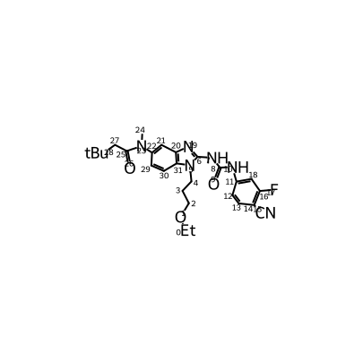 CCOCCCn1c(NC(=O)Nc2ccc(C#N)c(F)c2)nc2cc(N(C)C(=O)CC(C)(C)C)ccc21